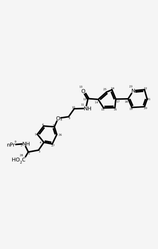 CCCNC(Cc1ccc(OCCNC(=O)c2ccc(-c3ccccn3)cc2)cc1)C(=O)O